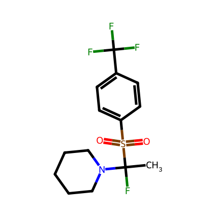 CC(F)(N1CCCCC1)S(=O)(=O)c1ccc(C(F)(F)F)cc1